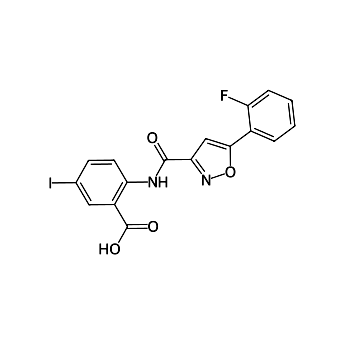 O=C(Nc1ccc(I)cc1C(=O)O)c1cc(-c2ccccc2F)on1